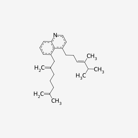 C=C(C)CCCC(=C)Cc1cccc2nccc(CC/C=C(\C)C(C)C)c12